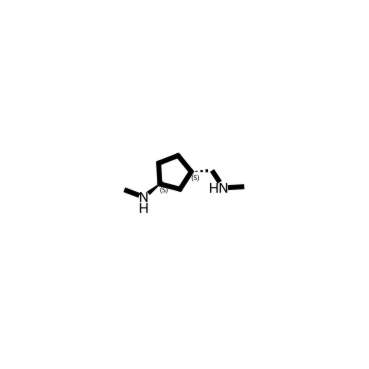 CNC[C@H]1CC[C@H](NC)C1